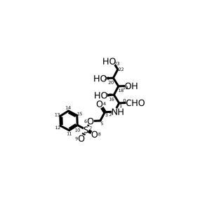 O=CC(NC(=O)COS(=O)(=O)c1ccccc1)C(O)C(O)C(O)CO